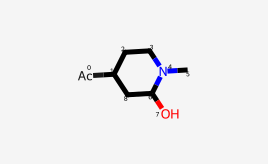 CC(=O)C1CCN(C)C(O)C1